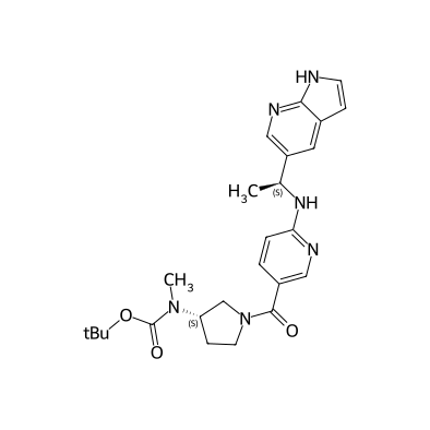 C[C@H](Nc1ccc(C(=O)N2CC[C@H](N(C)C(=O)OC(C)(C)C)C2)cn1)c1cnc2[nH]ccc2c1